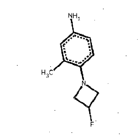 Cc1cc(N)ccc1N1CC(F)C1